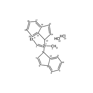 CC[CH]=[Zr]([CH3])([CH]1C=Cc2ccccc21)[CH]1C=Cc2ccccc21.Cl.Cl